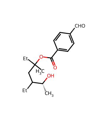 CCC(CC(C)(CC)OC(=O)c1ccc(C=O)cc1)[C@@H](C)O